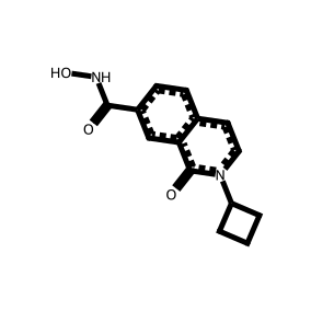 O=C(NO)c1ccc2ccn(C3CCC3)c(=O)c2c1